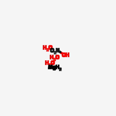 O.O.O.O=[N+]([O-])O.[MgH2]